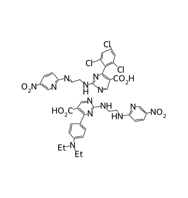 CCN(CC)c1ccc(-c2nc(NCCNc3ccc([N+](=O)[O-])cn3)ncc2C(=O)O)cc1.O=C(O)c1cnc(NCC=Nc2ccc([N+](=O)[O-])cn2)nc1-c1c(Cl)cc(Cl)cc1Cl